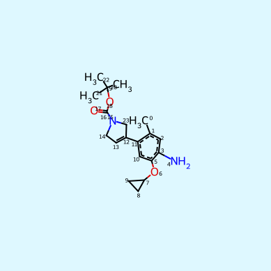 Cc1cc(N)c(OC2CC2)cc1C1=CCN(C(=O)OC(C)(C)C)C1